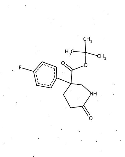 CC(C)(C)OC(=O)C1(c2ccc(F)cc2)CCC(=O)NC1